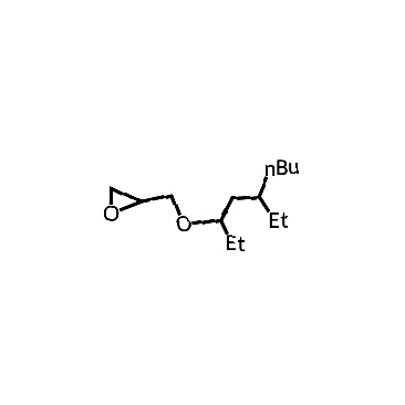 CCCCC(CC)CC(CC)OCC1CO1